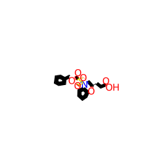 O=C(O)CC[C@H]1CN(S(=O)(=O)C(=O)OCc2ccccc2)c2ccccc2O1